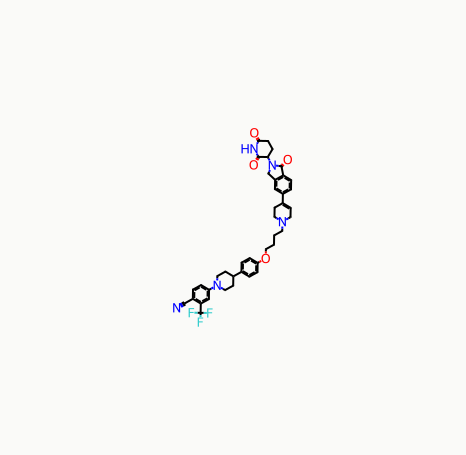 N#Cc1ccc(N2CCC(c3ccc(OCCCCN4CC=C(c5ccc6c(c5)CN(C5CCC(=O)NC5=O)C6=O)CC4)cc3)CC2)cc1C(F)(F)F